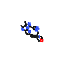 COc1ccc2nc(C)c3c(C)nc(-c4cnn(CCN5CCOCC5)c4)n3c2n1